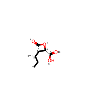 CC[C@H](C)[C@@H]1C(=O)O[C@@H]1C(=O)O